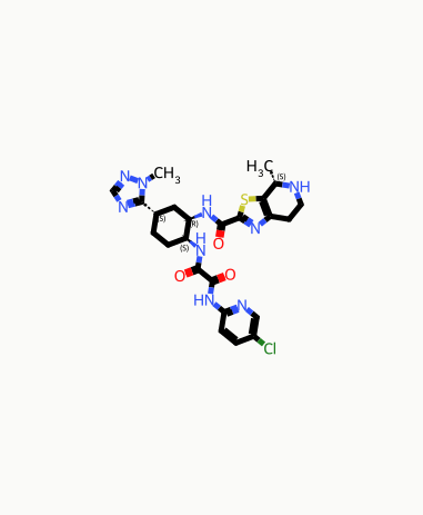 C[C@@H]1NCCc2nc(C(=O)N[C@@H]3C[C@@H](c4ncnn4C)CC[C@@H]3NC(=O)C(=O)Nc3ccc(Cl)cn3)sc21